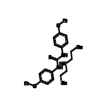 CCC(C)C[CH2][AlH][CH2]CC(C)CC.CCOc1ccc(NC(=S)Nc2ccc(OCC)cc2)cc1